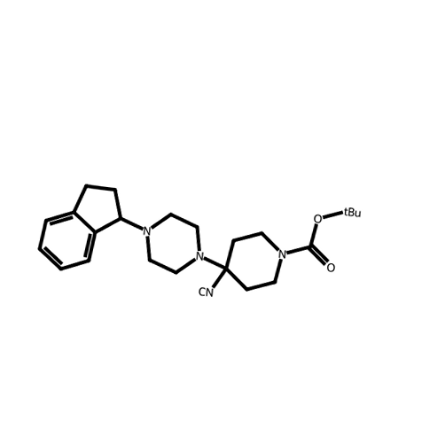 [C-]#[N+]C1(N2CCN(C3CCc4ccccc43)CC2)CCN(C(=O)OC(C)(C)C)CC1